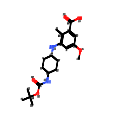 COc1cc(N[C@H]2CC[C@H](NC(=O)OC(C)(C)C)CC2)c(C)c(C(=O)O)c1